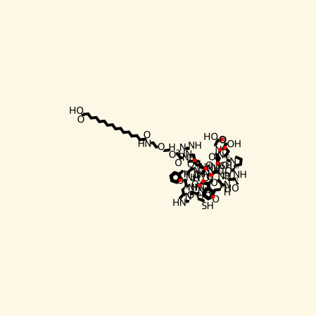 CC(=O)N[C@@H](CCS)C(=O)N[C@@H](CC1CNC=N1)C(=O)N[C@H](Cc1ccccc1)C(=O)N[C@@H](CCCNC(=N)N)C(=O)N[C@@H](Cc1c[nH]c2ccccc12)C(=O)NC(S)C(=O)N1CCC[C@H]1C(=O)N1CCC[C@H]1C(=O)N[C@@H](CO)C(=O)N[C@@H](CCC(=O)O)C(=O)N[C@@H](CCCCN(CC(=O)O)CC(=O)O)C(=O)N[C@@H](CCCCNC(=O)COCCOCCNC(=O)CCCCCCCCCCCCCCC(=O)O)C(N)=O